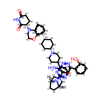 Nc1nnc(-c2ccccc2O)cc1N1C[C@H]2CC[C@@H](C1)N2c1nccc(C2CCN([C@H]3CC[C@@H](c4cccc5c4OCCN5[C@H]4CCC(=O)NC4=O)CC3)CC2)n1